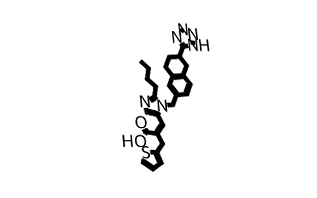 CCCCc1ncc(C=C(Cc2cccs2)C(=O)O)n1Cc1ccc2c(c1)CCC(c1nnn[nH]1)C2